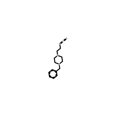 S=C=NCCN1CCN(Cc2ccccc2)CC1